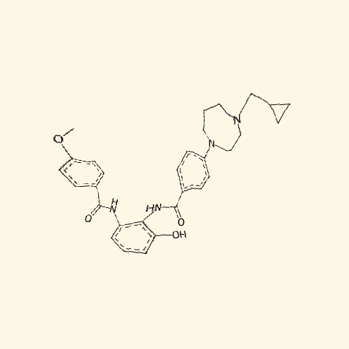 COc1ccc(C(=O)Nc2cccc(O)c2NC(=O)c2ccc(N3CCCN(CC4CC4)CC3)cc2)cc1